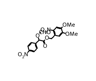 COc1cc(COC(=O)C(O[C]=O)c2ccc([N+](=O)[O-])cc2)c([N+](=O)[O-])cc1OC